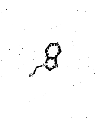 CC(C)Cn1cnc2cnccc21